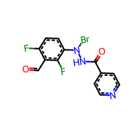 O=Cc1c(F)ccc(N(Br)NC(=O)c2ccncc2)c1F